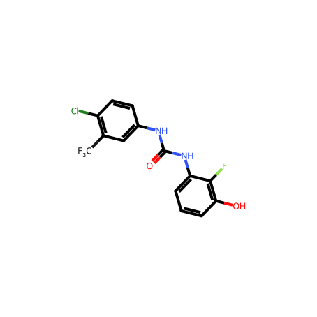 O=C(Nc1ccc(Cl)c(C(F)(F)F)c1)Nc1cccc(O)c1F